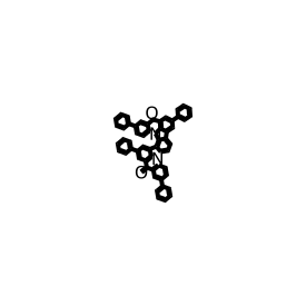 O=c1c2cc(-c3ccccc3)ccc2n2c3ccc4c5cc(-c6ccccc6)cc6c(=O)c7cc(-c8ccccc8)ccc7n(c65)c4c3c3cc(-c4ccccc4)cc1c32